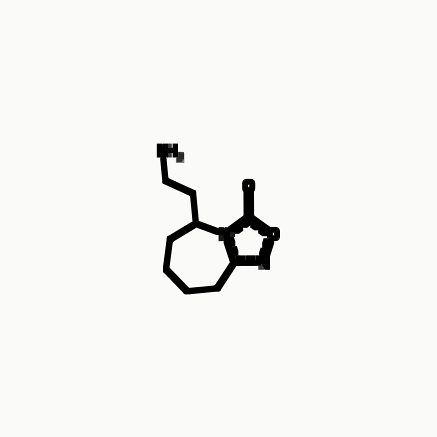 NCCC1CCCCc2noc(=O)n21